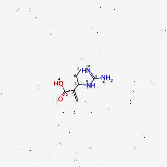 C=C(C(=O)O)C(CC)NC(=N)N